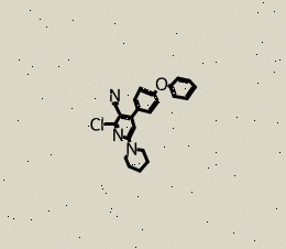 N#Cc1c(-c2ccc(Oc3ccccc3)cc2)cc(N2CCCCC2)nc1Cl